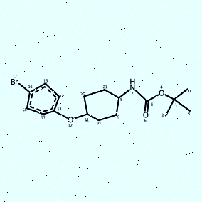 CC(C)(C)OC(=O)NC1CCC(Oc2ccc(Br)cc2)CC1